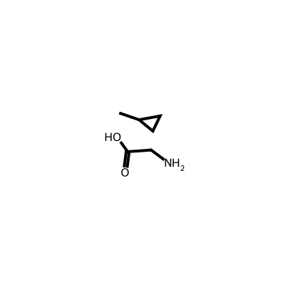 CC1CC1.NCC(=O)O